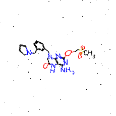 CS(=O)(=O)CCOc1nc(N)c2c(n1)N(Cc1cccc(CN3CCCC3)c1)CC(=O)N2